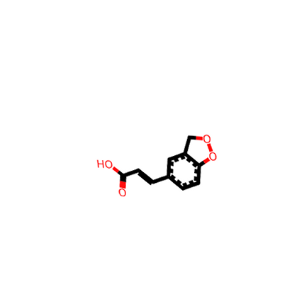 O=C(O)C=Cc1ccc2c(c1)COO2